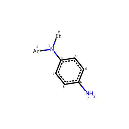 CCN(C(C)=O)c1ccc(N)cc1